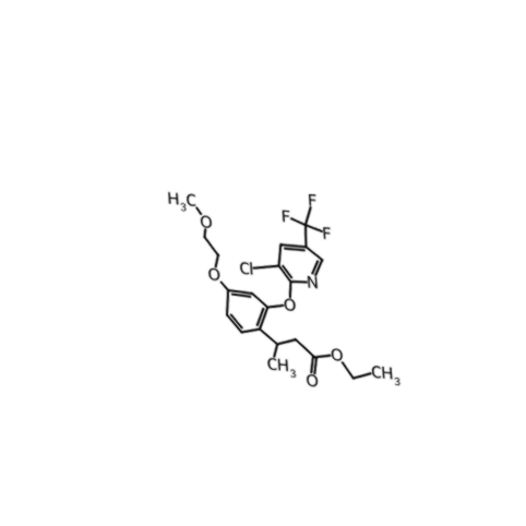 CCOC(=O)CC(C)c1ccc(OCCOC)cc1Oc1ncc(C(F)(F)F)cc1Cl